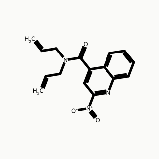 C=CCN(CC=C)C(=O)c1cc([N+](=O)[O-])nc2ccccc12